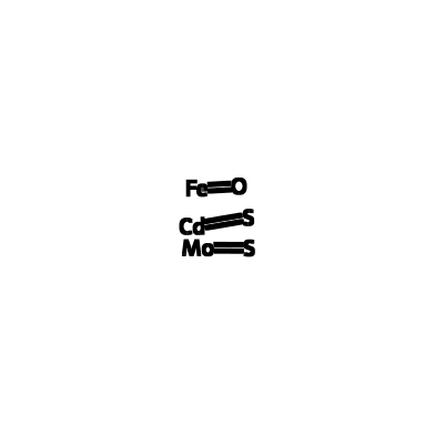 [O]=[Fe].[S]=[Cd].[S]=[Mo]